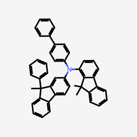 CC1(C)c2ccccc2-c2cccc(N(c3ccc(-c4ccccc4)cc3)c3ccc4c(c3)C(C)(c3ccccc3)c3ccccc3-4)c21